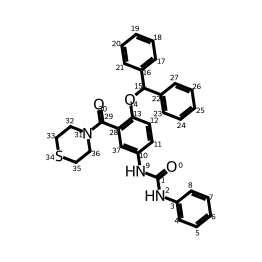 O=C(Nc1ccccc1)Nc1ccc(OC(c2ccccc2)c2ccccc2)c(C(=O)N2CCSCC2)c1